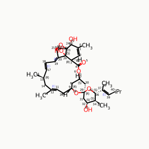 CC1=C[C@H]2C(=O)O[C@H]3C[C@@H](C/C=C(\C)C[C@@H](C)/C=C/C=C4\CO[C@H]([C@@H]1O)[C@@]42O)O[C@]1(C3)C[C@H](O)[C@H](C)[C@@H](/C(C)=C/C(C)C)O1